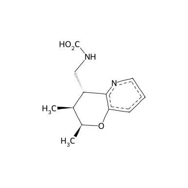 C[C@@H]1[C@H](C)Oc2cccnc2[C@H]1CNC(=O)O